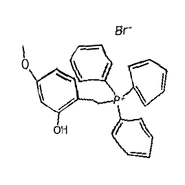 COc1ccc(C[P+](c2ccccc2)(c2ccccc2)c2ccccc2)c(O)c1.[Br-]